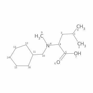 CC(C)CC(C(=O)O)N(C)CC1CCCCC1